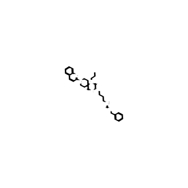 CCCN1C(=O)[C@H](CCCCNC(=O)OCc2ccccc2)NC(=O)C12CCN(c1ccc3ccccc3n1)CC2